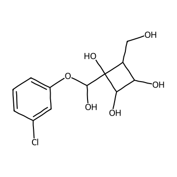 OCC1C(O)C(O)C1(O)C(O)Oc1cccc(Cl)c1